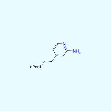 CCCCCCCc1ccnc(N)c1